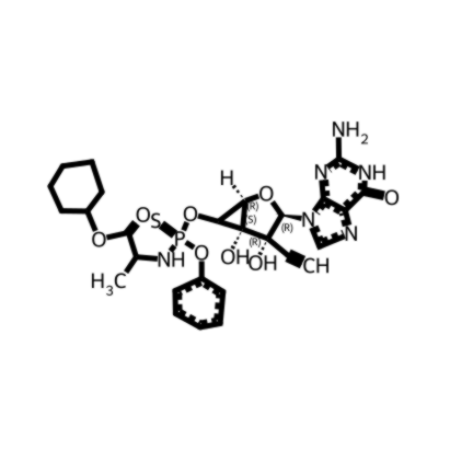 C#C[C@]1(O)[C@H](n2cnc3c(=O)[nH]c(N)nc32)O[C@@H]2C(OP(=S)(NC(C)C(=O)OC3CCCCC3)Oc3ccccc3)[C@@]21O